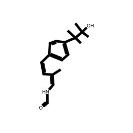 CC(/C=C\c1ccc(C(C)(C)C(C)(C)O)cc1)=C/NC=O